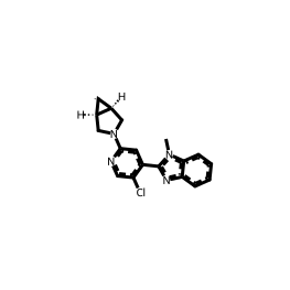 Cn1c(-c2cc(N3C[C@H]4[CH][C@H]4C3)ncc2Cl)nc2ccccc21